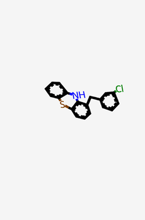 Clc1cccc(Cc2cccc3c2Nc2ccccc2S3)c1